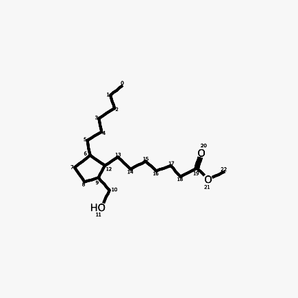 CCCCCCC1CCC(CO)C1CCCCCCC(=O)OC